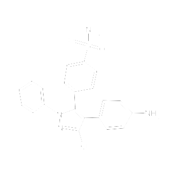 Nc1ccc(-c2c(C(F)(F)F)nn(-c3ccccc3)c2-c2ccc(S(N)(=O)=O)cc2)cc1